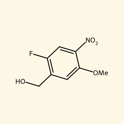 COc1cc(CO)c(F)cc1[N+](=O)[O-]